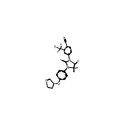 CC1(C)C(=O)N(c2ccc(C#N)c(C(F)(F)F)c2)C(=S)N1c1ccc(O[C@H]2CCOC2)cc1